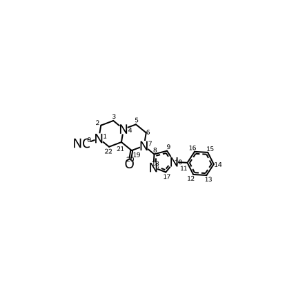 N#CN1CCN2CCN(c3cn(-c4ccccc4)cn3)C(=O)C2C1